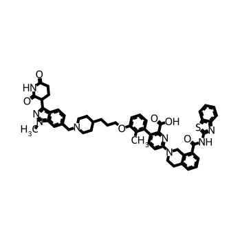 Cc1c(OCCCC2CCN(Cc3ccc4c(C5CCC(=O)NC5=O)nn(C)c4c3)CC2)cccc1-c1ccc(N2CCc3cccc(C(=O)Nc4nc5ccccc5s4)c3C2)nc1C(=O)O